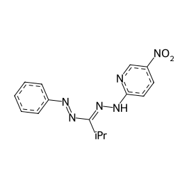 CC(C)C(N=Nc1ccccc1)=NNc1ccc([N+](=O)[O-])cn1